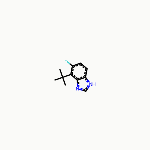 CC(C)(C)c1c(F)ccc2[nH]cnc12